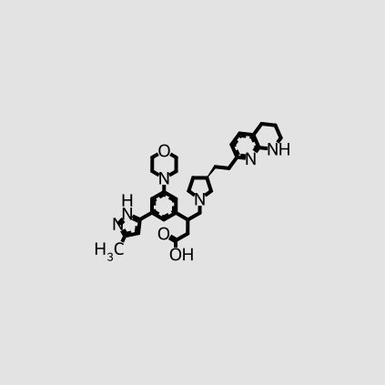 Cc1cc(-c2cc(C(CC(=O)O)CN3CC[C@@H](CCc4ccc5c(n4)NCCC5)C3)cc(N3CCOCC3)c2)[nH]n1